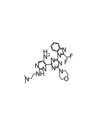 CN(C)CCNc1ncc(N)c(-c2nc(N3CCOCC3)nc(-n3c(C(F)F)nc4ccccc43)n2)n1